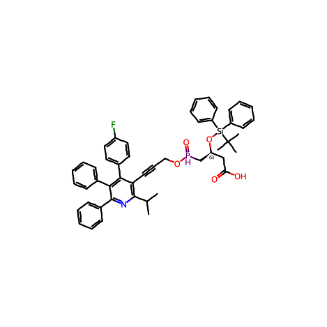 CC(C)c1nc(-c2ccccc2)c(-c2ccccc2)c(-c2ccc(F)cc2)c1C#CCO[PH](=O)C[C@H](CC(=O)O)O[Si](c1ccccc1)(c1ccccc1)C(C)(C)C